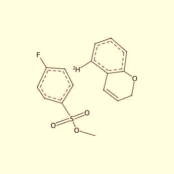 COS(=O)(=O)c1ccc(F)cc1.[2H]c1cccc2c1C=CCO2